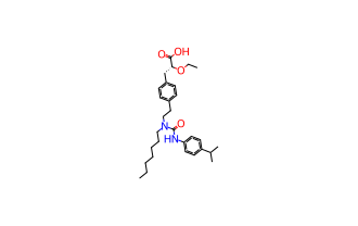 CCCCCCCN(CCc1ccc(C[C@@H](OCC)C(=O)O)cc1)C(=O)Nc1ccc(C(C)C)cc1